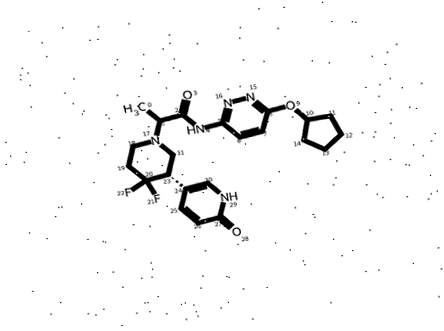 CC(C(=O)Nc1ccc(OC2CCCC2)nn1)N1CCC(F)(F)[C@@H](c2ccc(=O)[nH]c2)C1